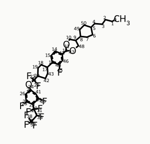 CCCCCC1CCC(C2COC(c3ccc(C4CCC(C(F)(F)Oc5cc(F)c(C(F)(F)C(F)C(F)(F)F)c(F)c5)CC4)c(F)c3)OC2)CC1